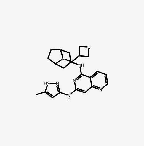 Cc1cc(Nc2cc3ncccc3c(NC3CC4CCC(C3)N4CC3COC3)n2)n[nH]1